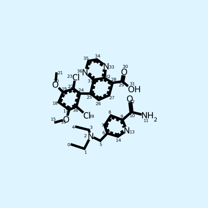 CCN(CC)Cc1ccc(C(N)=O)nc1.COc1cc(OC)c(Cl)c(-c2ccc(C(=O)O)c3nccnc23)c1Cl